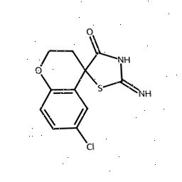 N=C1NC(=O)C2(CCOc3ccc(Cl)cc32)S1